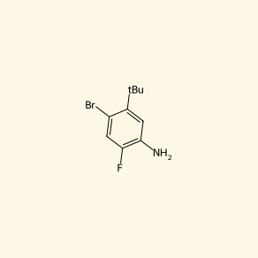 CC(C)(C)c1cc(N)c(F)cc1Br